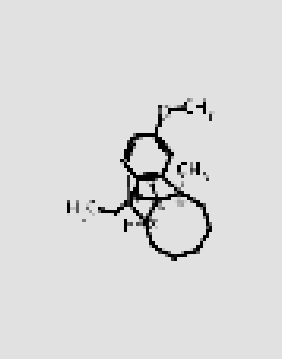 CCN[C@H]1[C@H]2CCCCC[C@]1(C)c1cc(OC)ccc1C2